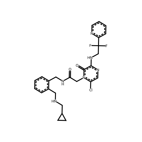 O=C(Cn1c(Cl)cnc(NCC(F)(F)c2ccccn2)c1=O)NCc1ccccc1CNCC1CC1